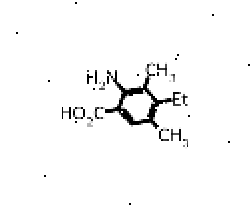 CCc1c(C)cc(C(=O)O)c(N)c1C